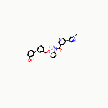 Cn1cc(-c2cncc(C(=O)N(N)[C@H]3CCC[C@@H]3OCc3cccc(-c4cccc(O)c4)c3)c2)cn1